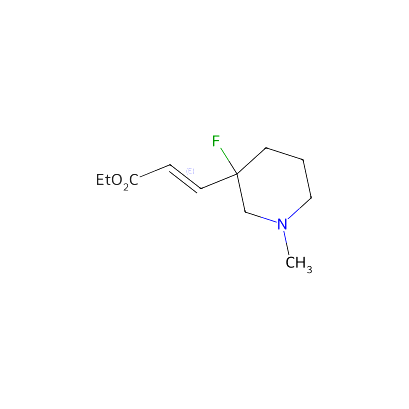 CCOC(=O)/C=C/C1(F)CCCN(C)C1